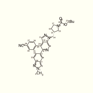 Cn1cc2cc(-c3ncc4c(cnn4C[C@@H]4CCN(C(=O)OC(C)(C)C)C4)c3-c3ccc(C#N)cc3)ccc2n1